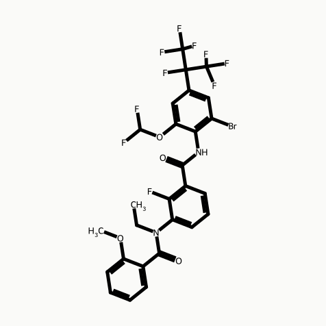 CCN(C(=O)c1ccccc1OC)c1cccc(C(=O)Nc2c(Br)cc(C(F)(C(F)(F)F)C(F)(F)F)cc2OC(F)F)c1F